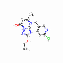 CCOc1nc2n(Cc3ccc(Cl)nc3)c(C)cc(=O)n2n1